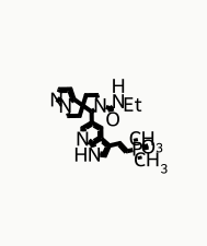 CCNC(=O)N1CCC2(CCn3nccc32)C1c1cnc2[nH]cc(/C=C/P(C)(C)=O)c2c1